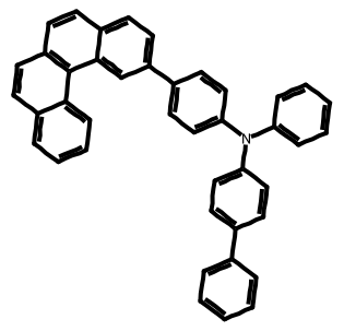 c1ccc(-c2ccc(N(c3ccccc3)c3ccc(-c4ccc5ccc6ccc7ccccc7c6c5c4)cc3)cc2)cc1